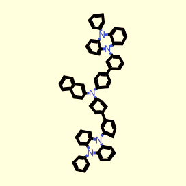 c1ccc(N2c3ccccc3N(c3cccc(-c4ccc(N(c5ccc(-c6cccc(N7c8ccccc8N(c8ccccc8)c8ccccc87)c6)cc5)c5ccc6ccccc6c5)cc4)c3)c3ccccc32)cc1